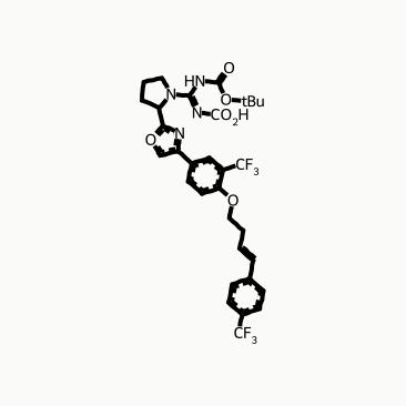 CC(C)(C)OC(=O)NC(=NC(=O)O)N1CCCC1c1nc(-c2ccc(OCCC=Cc3ccc(C(F)(F)F)cc3)c(C(F)(F)F)c2)co1